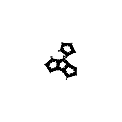 c1cc2c([nH]c3ccsc32)s1.c1ccsc1